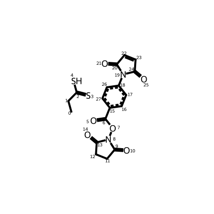 CCC(=S)S.O=C(ON1C(=O)CCC1=O)c1ccc(N2C(=O)C=CC2=O)cc1